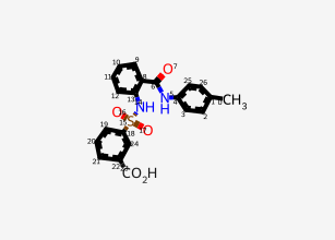 Cc1ccc(NC(=O)c2ccccc2NS(=O)(=O)c2cccc(C(=O)O)c2)cc1